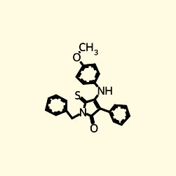 COc1ccc(NC2=C(c3ccccc3)C(=O)N(Cc3ccccc3)C2=S)cc1